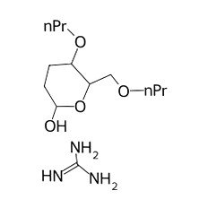 CCCOCC1OC(O)CCC1OCCC.N=C(N)N